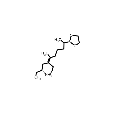 CC[C@@H](N)C/C(CF)=C(\C)CCCC(C)B1OCCO1